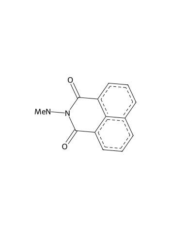 CNN1C(=O)c2cccc3cccc(c23)C1=O